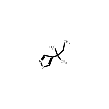 CCC(C)(C)c1cnsc1